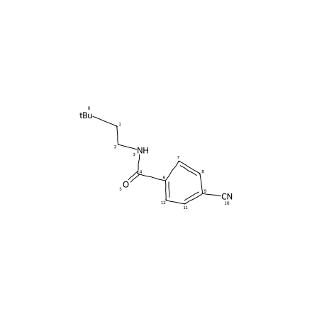 CC(C)(C)CCNC(=O)c1ccc(C#N)cc1